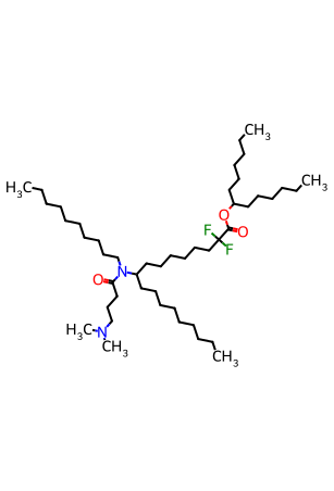 CCCCCCCCCCN(C(=O)CCCN(C)C)C(CCCCCCCCC)CCCCCCC(F)(F)C(=O)OC(CCCCCC)CCCCCC